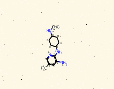 Nc1cc(C(F)(F)F)cnc1NC1CCC(NC=O)CC1